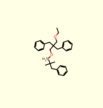 CCOCC(CO[SiH2]C(C)(C)Cc1ccccc1)(Cc1ccccc1)Cc1ccccc1